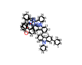 c1ccc(-c2ccc3c4c(-c5cccc6c5c5ccccc5n6-c5ccccc5C5N=C(c6ccccc6-c6ccccc6)N=C(c6cccc7oc8cccc(-c9ccccc9)c8c67)N5)cccc4n(-c4ccccc4)c3c2)cc1